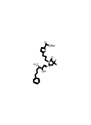 COC(=O)c1ccc(CCCN2C(=O)C(F)(F)C[C@@H]2C=CC(O)[C@H](C)CCCc2ccccc2)s1